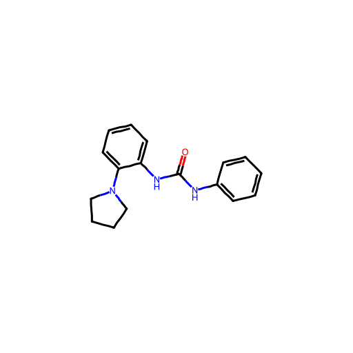 O=C(Nc1ccccc1)Nc1ccccc1N1CCCC1